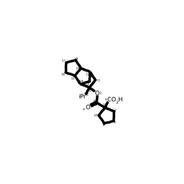 CC(C)C1(OC(=O)C2(C(=O)O)CCCC2)CC2CC1C1CCCC21